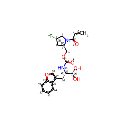 C=CC(=O)N1C[C@@H](F)C[C@@H]1COC(=O)N[C@@H](Cc1coc2ccccc12)B(O)O